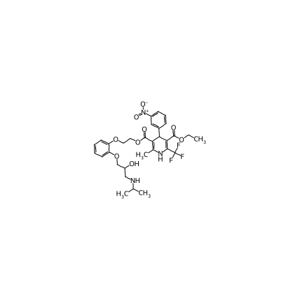 CCOC(=O)C1=C(C(F)(F)F)NC(C)=C(C(=O)OCCOc2ccccc2OCC(O)CNC(C)C)C1c1cccc([N+](=O)[O-])c1